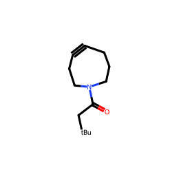 CC(C)(C)CC(=O)N1CCC#CCCC1